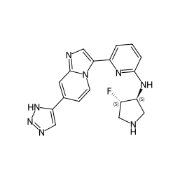 F[C@H]1CNC[C@@H]1Nc1cccc(-c2cnc3cc(-c4cnn[nH]4)ccn23)n1